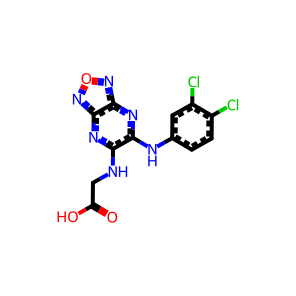 O=C(O)CNc1nc2nonc2nc1Nc1ccc(Cl)c(Cl)c1